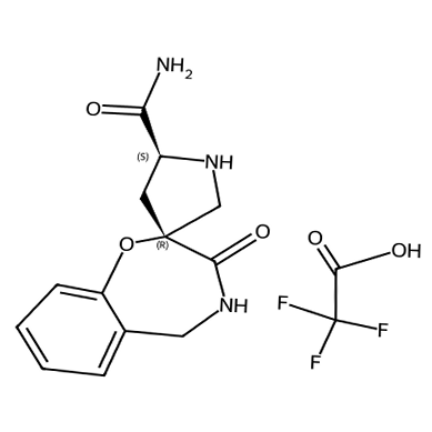 NC(=O)[C@@H]1C[C@]2(CN1)Oc1ccccc1CNC2=O.O=C(O)C(F)(F)F